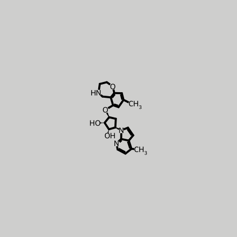 Cc1cc2c(c(O[C@H]3C[C@@H](n4ccc5c(C)ccnc54)[C@H](O)[C@@H]3O)c1)CNCCO2